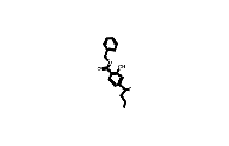 CCCC(F)c1ccc(C(=O)OCc2ccccc2)c(O)c1